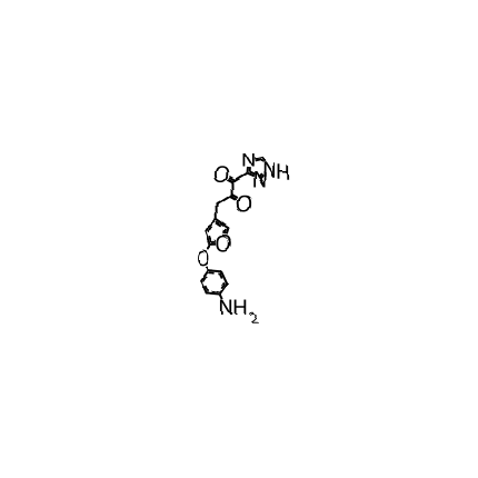 Nc1ccc(Oc2cc(CC(=O)C(=O)c3nc[nH]n3)co2)cc1